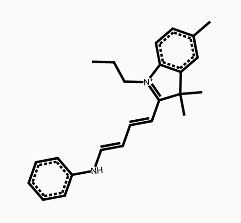 CCC[N+]1=C(/C=C/C=C/Nc2ccccc2)C(C)(C)c2cc(C)ccc21